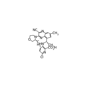 Cc1cc([C@@H](C)Nc2ccc(Cl)nc2C(=O)O)c2nc(N3CCOC[C@@H]3C)c(C#N)nc2c1